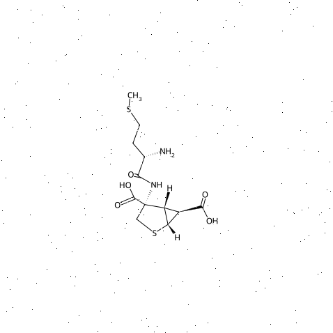 CSCC[C@H](N)C(=O)N[C@@]1(C(=O)O)CS[C@H]2[C@H](C(=O)O)[C@H]21